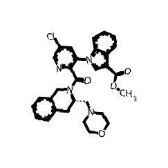 COC(=O)c1cn(-c2cc(Cl)cnc2C(=O)N2Cc3ccccc3C[C@H]2CN2CCOCC2)c2ccccc12